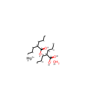 CCCC(CCC)C(=O)[O-].CCCC(CCC)C(=O)[O-].O.[Mg+2]